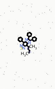 C/C=C\C=C(/C)c1c2nsnc2c(-c2ccccc2)c2nc(-c3ccccc3)c(-c3ccccc3)nc12